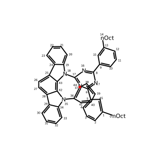 CCCCCCCCc1cccc(-c2nc(-c3cccc(CCCCCCCC)c3)nc(-n3c4ccccc4c4ccc5c6ccccc6n(-c6ccccc6)c5c43)n2)c1